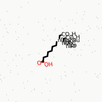 CCCCCCCC(=O)O.CCCCCCCCCCCC(=O)O.CCCCCCCCCCCC(=O)O.CCC[CH2][Sn][CH2]CCC.[Zn]